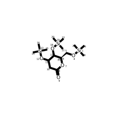 C[Si](C)(C)OC[C@H]1OC(=O)CC(O[Si](C)(C)C)C1O[Si](C)(C)C